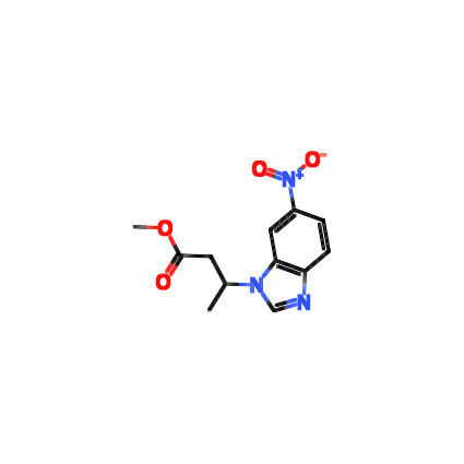 COC(=O)CC(C)n1cnc2ccc([N+](=O)[O-])cc21